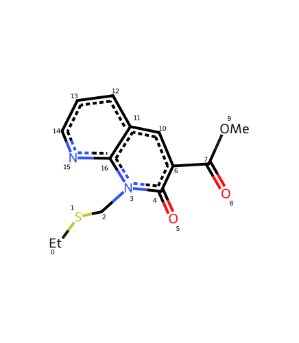 CCSCn1c(=O)c(C(=O)OC)cc2cccnc21